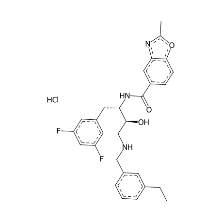 CCc1cccc(CNC[C@H](O)[C@H](Cc2cc(F)cc(F)c2)NC(=O)c2ccc3oc(C)nc3c2)c1.Cl